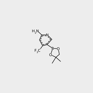 CC1(C)COB(c2cnc(N)cc2C(F)(F)F)O1